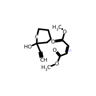 C#CC1(O)CCCCC1.COC(=O)/C=C\C(=O)OC